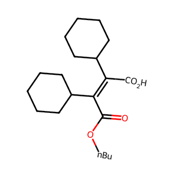 CCCCOC(=O)/C(=C(\C(=O)O)C1CCCCC1)C1CCCCC1